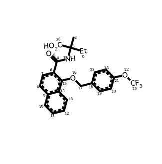 CCC(C)(NC(=O)c1ccc2ccccc2c1OCc1ccc(OC(F)(F)F)cc1)C(=O)O